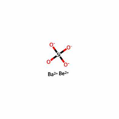 [Ba+2].[Be+2].[O-][Si]([O-])([O-])[O-]